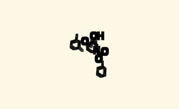 Cc1cccc(C)c1O[C@@H]1CCN(C(=O)OCc2ccccc2)C[C@H]1O